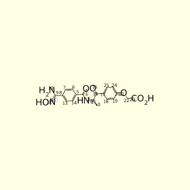 C[C@@H](NC(=O)c1ccc(/C(N)=N/O)cc1)C(=O)c1ccc(OCC(=O)O)cc1